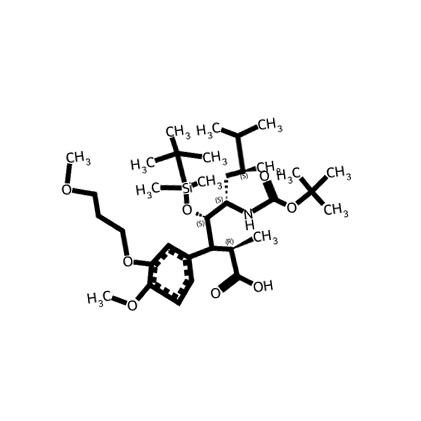 COCCCOc1cc(C([C@@H](C)C(=O)O)[C@H](O[Si](C)(C)C(C)(C)C)[C@H](C[C@H](C)C(C)C)NC(=O)OC(C)(C)C)ccc1OC